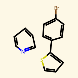 Brc1ccc(-c2cccs2)cc1.c1ccncc1